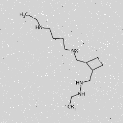 CCNCCCCNCC1CCC1CNNCC